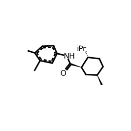 Cc1ccc(NC(=O)[C@@H]2C[C@H](C)CC[C@H]2C(C)C)cc1C